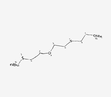 CCCCSCCOCCSCCOC